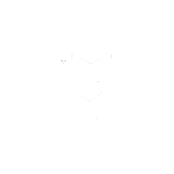 C[C@@H](O)C(=O)[O-].C[C@@H](O)C(=O)[O-].[Mg+2]